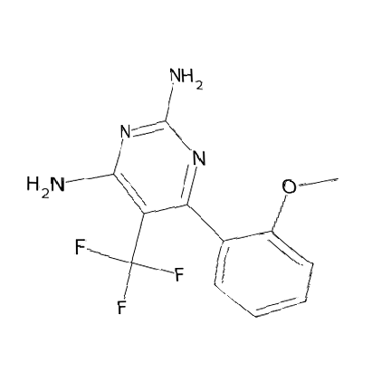 COc1ccccc1-c1nc(N)nc(N)c1C(F)(F)F